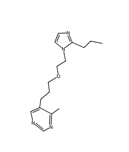 CCCc1nccn1CCOCCCc1cncnc1C